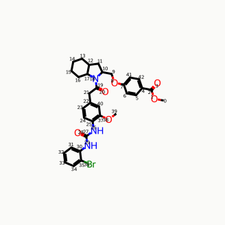 COC(=O)c1ccc(OCC2CC3CCCCC3N2C(=O)Cc2ccc(NC(=O)Nc3ccccc3Br)c(OC)c2)cc1